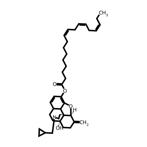 C=C1CC[C@@]2(O)C3CC4C=CC(OC(=O)CCCCCCC/C=C\C/C=C\C/C=C\CC)=C5O[C@@H]1[C@]2(CCN3CC1CC1)C54